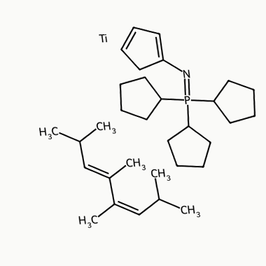 C1=CCC(N=P(C2CCCC2)(C2CCCC2)C2CCCC2)=C1.CC(=CC(C)C)C(C)=CC(C)C.[Ti]